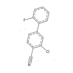 N#Cc1ccc(-c2ccccc2F)cc1Cl